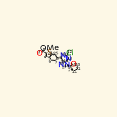 COC(=O)c1cc2ccc(-c3nc(Cl)nc4c3ncn4C3CCCCO3)cc2s1